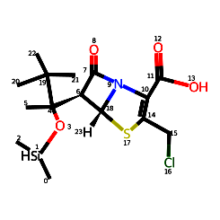 C[SiH](C)OC(C)([C@H]1C(=O)N2C(C(=O)O)=C(CCl)S[C@H]12)C(C)(C)C